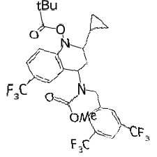 COC(=O)N(Cc1cc(C(F)(F)F)cc(C(F)(F)F)c1)C1CC(C2CC2)N(OC(=O)C(C)(C)C)c2ccc(C(F)(F)F)cc21